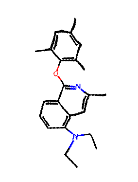 CCN(CC)c1cccc2c(Oc3c(C)cc(C)cc3C)nc(C)cc12